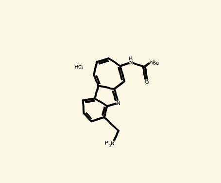 CCCCC(=O)Nc1cccc2c3cccc(CN)c3nc-2c1.Cl